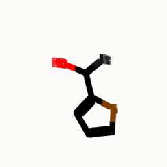 [CH2]CC(O)c1cccs1